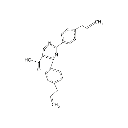 C=CCc1ccc(-c2ncc(C(=O)O)c(-c3ccc(CC=C)cc3)n2)cc1